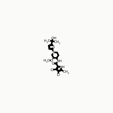 CO[C@H]1CN(c2ccc(C(C)(C)O)s2)CCC1NC(=O)c1[nH]c(C)c(Cl)c1Cl